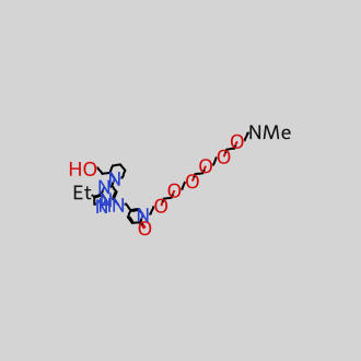 CCc1cnn2c(NCc3ccc(=O)n(CCOCCOCCOCCOCCOCCOCCNC)c3)cc(N3CCCCC3CCO)nc12